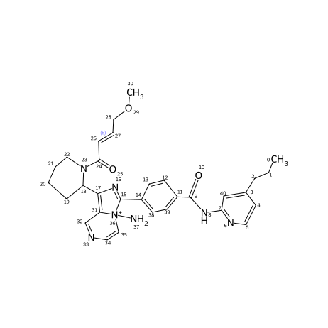 CCCc1ccnc(NC(=O)c2ccc(C3=NC(C4CCCCN4C(=O)/C=C/COC)=C4C=NC=C[N+]34N)cc2)c1